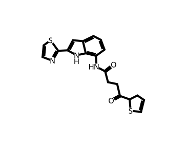 O=C(CCC(=O)C1CC=CS1)Nc1cccc2cc(-c3nccs3)[nH]c12